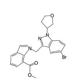 COC(=O)c1cccc2ccn(Cc3nn(C4CCOC4)c4ccc(Br)cc34)c12